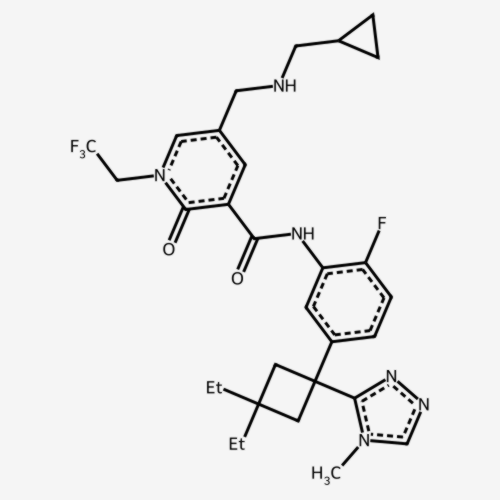 CCC1(CC)CC(c2ccc(F)c(NC(=O)c3cc(CNCC4CC4)cn(CC(F)(F)F)c3=O)c2)(c2nncn2C)C1